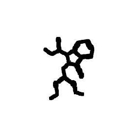 CCOC(CN1C(=O)c2ccccc2C1C(=O)CC)OCC